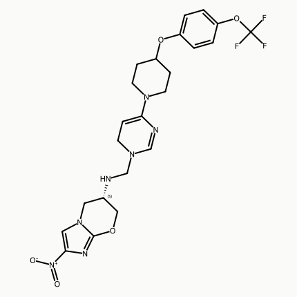 O=[N+]([O-])c1cn2c(n1)OC[C@@H](NCN1C=NC(N3CCC(Oc4ccc(OC(F)(F)F)cc4)CC3)=CC1)C2